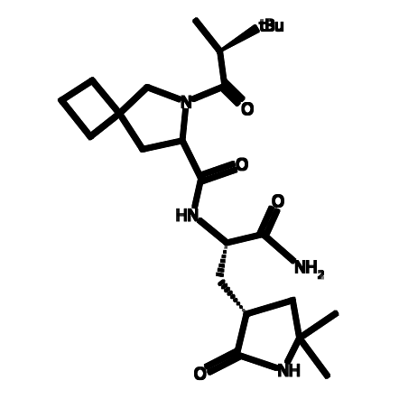 C[C@H](C(=O)N1CC2(CCC2)CC1C(=O)N[C@@H](C[C@@H]1CC(C)(C)NC1=O)C(N)=O)C(C)(C)C